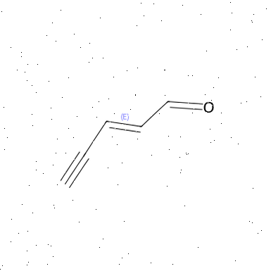 C#C/C=C/C=O